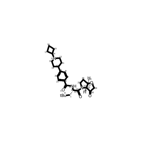 CC(C)(C)C[C@H](NC(=O)c1ccc(C2CCN(C3CCC3)CC2)cc1)C(=O)N1CC[C@H]2OCC(=O)[C@H]21